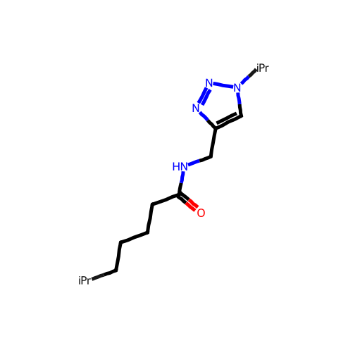 CC(C)CCCCC(=O)NCc1cn(C(C)C)nn1